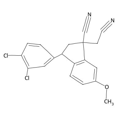 COc1ccc2c(c1)C(C#N)(CC#N)CC2c1ccc(Cl)c(Cl)c1